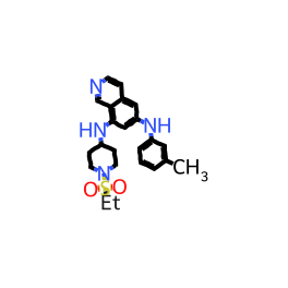 CCS(=O)(=O)N1CCC(Nc2cc(Nc3cccc(C)c3)cc3ccncc23)CC1